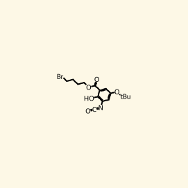 CC(C)(C)Oc1cc(N=C=O)c(O)c(C(=O)OCCCCBr)c1